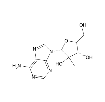 CC1(O)[C@@H](O)C(CO)O[C@H]1n1cnc2c(N)ncnc21